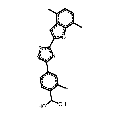 Cc1ccc(C)c2oc(-c3nc(-c4ccc(C(O)O)c(F)c4)ns3)cc12